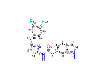 O=C(Cc1ccc2cc[nH]c2c1)Nc1ccn(Cc2ccc(F)c(F)c2)n1